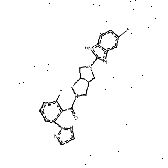 O=C(c1c(F)cccc1-n1nccn1)N1CC2CN(c3nc4cc(F)ccc4[nH]3)CC2C1